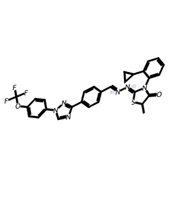 CC1S/C(=N\N=C\c2ccc(-c3ncn(-c4ccc(OC(F)(F)F)cc4)n3)cc2)N(c2ccccc2C2CC2)C1=O